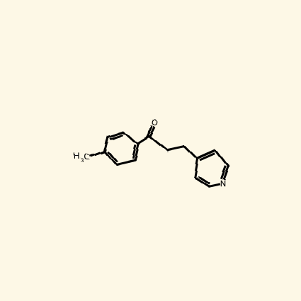 Cc1ccc(C(=O)[CH]Cc2ccncc2)cc1